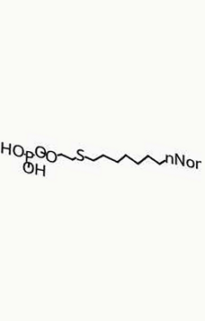 CCCCCCCCCCCCCCCCSCCOOP(O)O